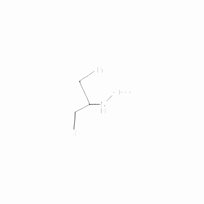 CC(C)CC(CC(C)C)NC=O